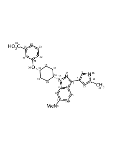 CNc1cc2c(cn1)c(-c1cnn(C)c1)nn2[C@H]1CC[C@@H](Oc2cccc(C(=O)O)c2)CC1